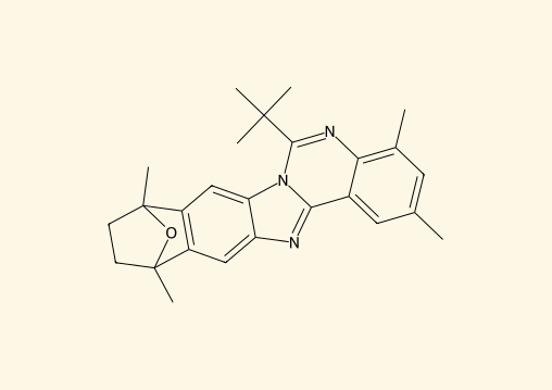 Cc1cc(C)c2nc(C(C)(C)C)n3c4cc5c(cc4nc3c2c1)C1(C)CCC5(C)O1